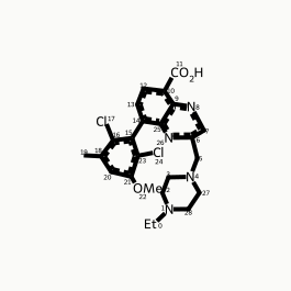 CCN1CCN(Cc2cnc3c(C(=O)O)ccc(-c4c(Cl)c(C)cc(OC)c4Cl)c3n2)CC1